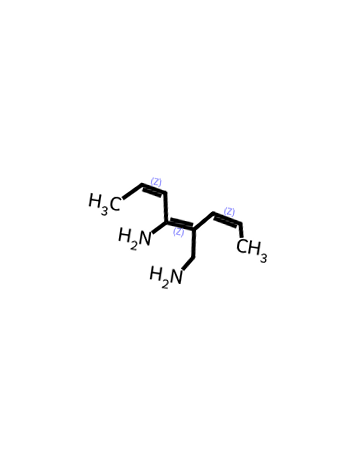 C\C=C/C(N)=C(\C=C/C)CN